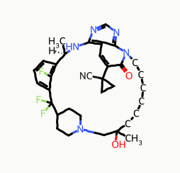 C[C@H]1Nc2ncnc3c2cc(C2(C#N)CC2)c(=O)n3CCCCCCC(C)(O)CN2CCC(CC2)C(F)(F)c2cccc1c2F